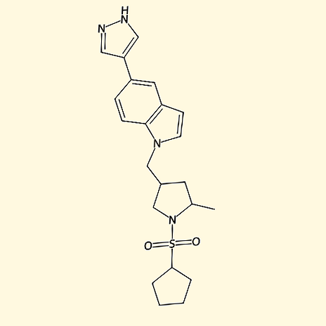 CC1CC(Cn2ccc3cc(-c4cn[nH]c4)ccc32)CN1S(=O)(=O)C1CCCC1